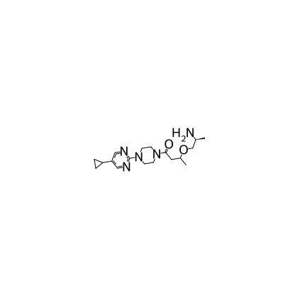 CC(CC(=O)N1CCN(c2ncc(C3CC3)cn2)CC1)OC[C@H](C)N